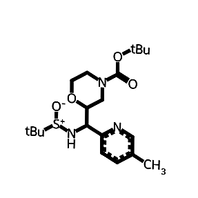 Cc1ccc(C(N[S+]([O-])C(C)(C)C)C2CN(C(=O)OC(C)(C)C)CCO2)nc1